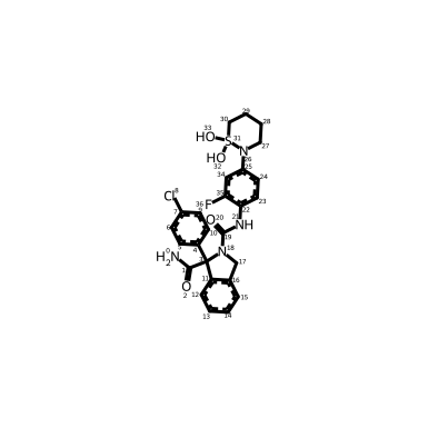 NC(=O)C1(c2ccc(Cl)cc2)c2ccccc2CN1C(=O)Nc1ccc(N2CCCCS2(O)O)cc1F